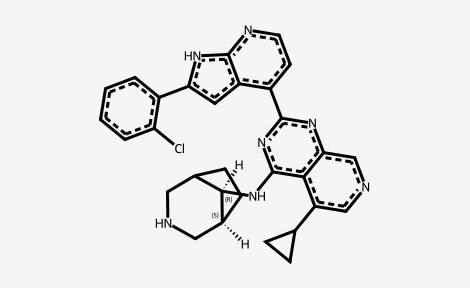 Clc1ccccc1-c1cc2c(-c3nc(N[C@@H]4C5CC[C@H]4CNC5)c4c(C5CC5)cncc4n3)ccnc2[nH]1